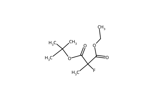 CCOC(=O)C(C)(F)C(=O)OC(C)(C)C